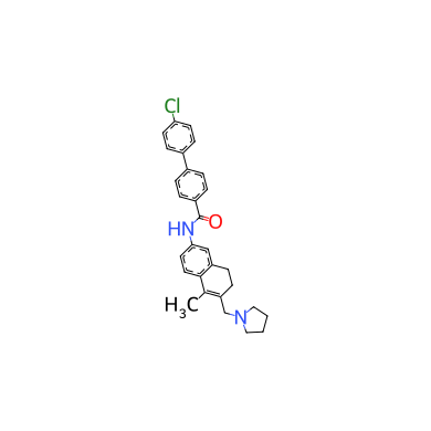 CC1=C(CN2CCCC2)CCc2cc(NC(=O)c3ccc(-c4ccc(Cl)cc4)cc3)ccc21